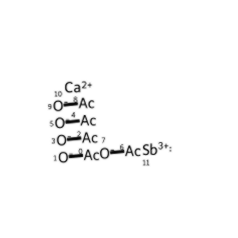 CC(=O)[O-].CC(=O)[O-].CC(=O)[O-].CC(=O)[O-].CC(=O)[O-].[Ca+2].[Sb+3]